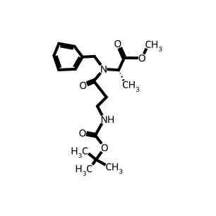 COC(=O)[C@H](C)N(Cc1ccccc1)C(=O)CCNC(=O)OC(C)(C)C